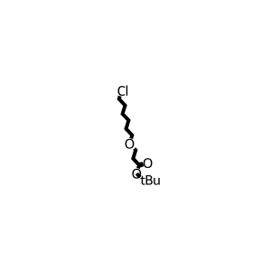 CC(C)(C)OC(=O)CCOCCCCCCCl